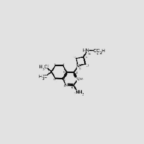 CC1(C)CCc2c(nc(N)nc2N2CC(NC(=O)O)C2)C1